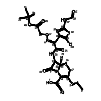 CCSC1=C(C(=O)O)N2C(=O)C(NC(=O)C(=NOCC(=O)OC(C)(C)C)c3nc(NC=O)sc3Cl)[C@@H]2SC1